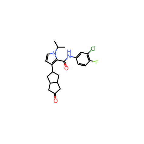 CC(C)n1ccc(C2CC3CC(=O)CC3C2)c1C(=O)Nc1ccc(F)c(Cl)c1